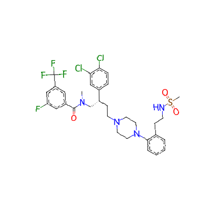 CN(C[C@@H](CCN1CCN(c2ccccc2CCNS(C)(=O)=O)CC1)c1ccc(Cl)c(Cl)c1)C(=O)c1cc(F)cc(C(F)(F)F)c1